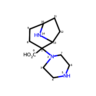 O=C(O)C1(N2CCNCC2)CCC2CCC1N2